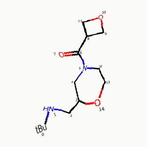 CC(C)(C)NCC1CN(C(=O)C2COC2)CCO1